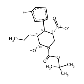 CCC[C@@H]1[C@@H](c2cccc(F)c2)[C@H]([N+](=O)[O-])CN(C(=O)OC(C)(C)C)[C@@H]1O